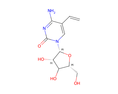 C=Cc1cn([C@@H]2O[C@H](CO)C(O)[C@@H]2O)c(=O)nc1N